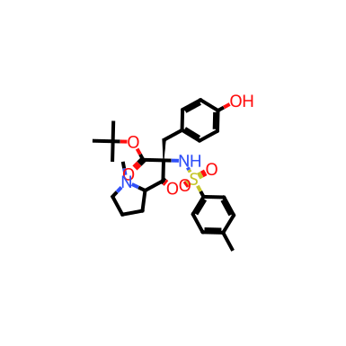 Cc1ccc(S(=O)(=O)N[C@@](Cc2ccc(O)cc2)(C(=O)OC(C)(C)C)C(=O)C2CCCN2C)cc1